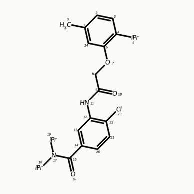 Cc1ccc(C(C)C)c(OCC(=O)Nc2cc(C(=O)N(C(C)C)C(C)C)ccc2Cl)c1